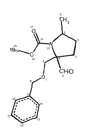 CC1CCC(C=O)(COCc2ccccc2)N1C(=O)OC(C)(C)C